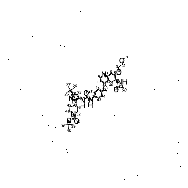 COCCOc1cc2nccc(Oc3ccc(NC(=O)Nc4cc(C(C)(C)C)nn4C4CCN(C(=O)OC(C)(C)C)CC4)cc3)c2cc1NC(C)=O